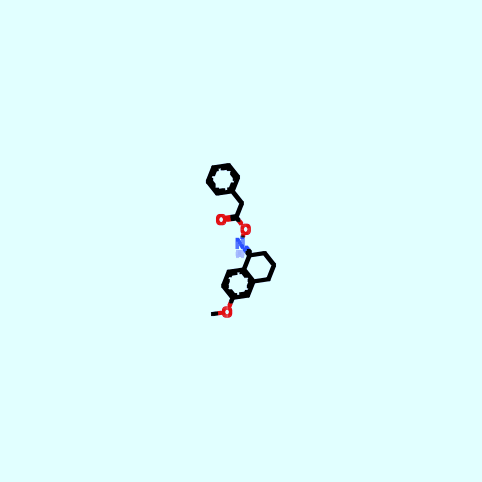 COc1ccc2c(c1)CCC/C2=N\OC(=O)Cc1ccccc1